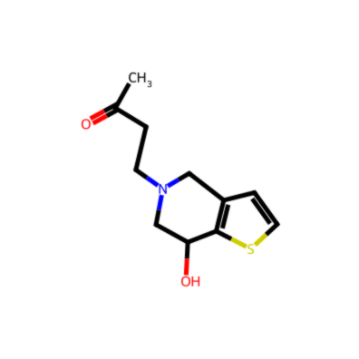 CC(=O)CCN1Cc2ccsc2C(O)C1